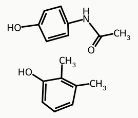 CC(=O)Nc1ccc(O)cc1.Cc1cccc(O)c1C